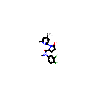 Cc1cc(C(F)(F)F)cc(N2C(=O)CCC2C(=O)N(C)c2ccc(F)c(Cl)c2)n1